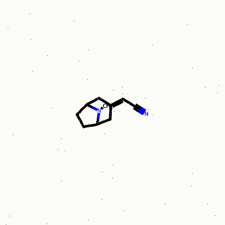 CN1C2CCC1CC(=CC#N)C2